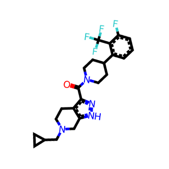 O=C(c1n[nH]c2c1CCN(CC1CC1)C2)N1CCC(c2cccc(F)c2C(F)(F)F)CC1